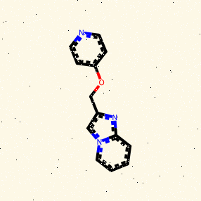 c1ccn2cc(COc3ccncc3)nc2c1